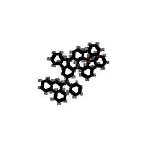 c1ccc(N(c2cc3c4c(c2)N(c2cccc5c2sc2ccccc25)c2c(ccc5c2sc2ccccc25)B4c2ccccc2-3)c2cc3ccccc3c3ccccc23)cc1